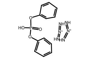 N=[N+]=N.N=[N+]=N.O=P(O)(Oc1ccccc1)Oc1ccccc1